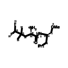 COC[C@H](CC(C)C)NC(=O)[C@@H](N)CC(C)(C)C(F)F